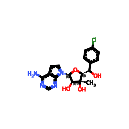 C[C@@]1(O)[C@@H](C(O)c2ccc(Cl)cc2)O[C@@H](n2ccc3c(N)ncnc32)[C@@H]1O